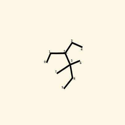 CC[C](CC)C(C)(C)CC